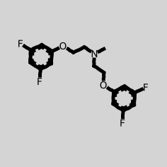 CN(CCOc1cc(F)cc(F)c1)CCOc1cc(F)cc(F)c1